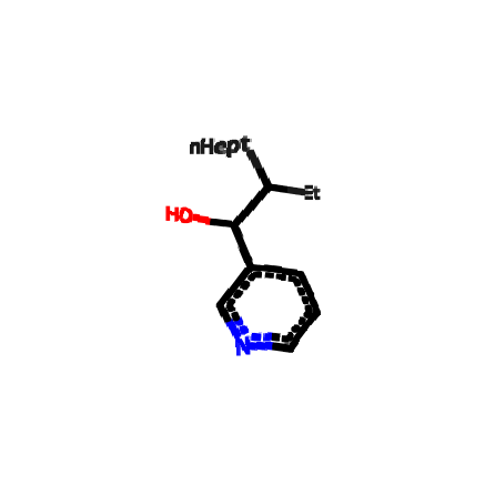 CCCCCCCC(CC)C(O)c1cccnc1